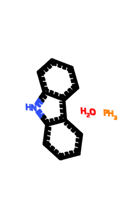 O.P.c1ccc2c(c1)[nH]c1ccccc12